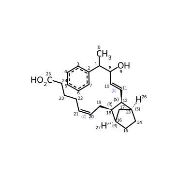 CC(c1ccccc1)C(O)/C=C/[C@H]1[C@H]2CC[C@H](C2)[C@H]1C/C=C\CCCC(=O)O